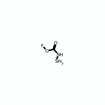 O=C(N[SiH3])OF